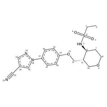 CCS(=O)(=O)N[C@H]1CCOC[C@@H]1COc1ccc(-n2cc(C#N)cn2)cc1